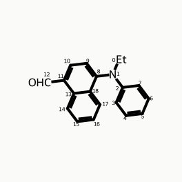 CCN(c1ccccc1)c1ccc(C=O)c2ccccc12